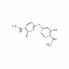 CNc1ccc(Cc2ccc(NC)c(Cl)c2)cc1Cl